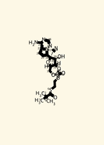 CC(C)(C)C(=O)SCCO[P@@]1(=O)OC[C@H]2O[C@@](C#N)(c3ccc4c(N)ncnn34)[C@H](O)[C@@H]2O1